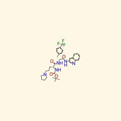 CC(C)(C)OC(=O)N[C@@H](CCCN1CCCC1)C(=O)N[C@H](Cc1ccc(C(F)(F)F)cc1)C(=O)Nc1cnc2ccccc2c1